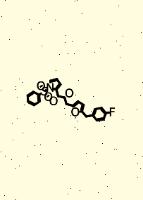 O=C(Cc1ccc(Cc2ccc(F)cc2)o1)C(=O)c1cccn1S(=O)(=O)c1ccccc1